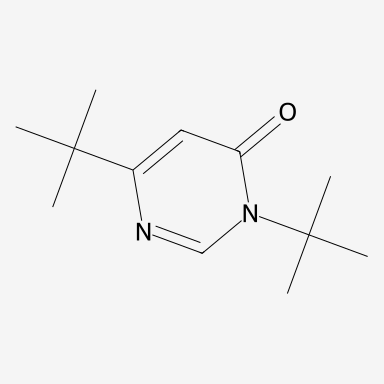 CC(C)(C)c1cc(=O)n(C(C)(C)C)cn1